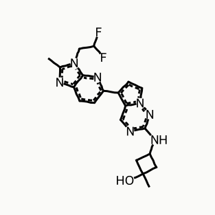 Cc1nc2ccc(-c3ccn4nc(NC5CC(C)(O)C5)ncc34)nc2n1CC(F)F